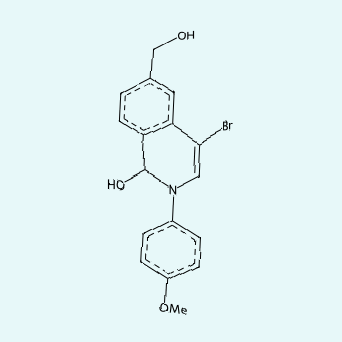 COc1ccc(N2C=C(Br)c3cc(CO)ccc3C2O)cc1